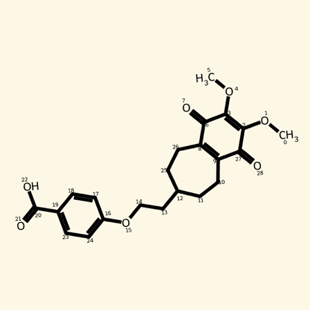 COC1=C(OC)C(=O)C2=C(CCC(CCOc3ccc(C(=O)O)cc3)CC2)C1=O